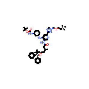 CC(CCO[Si](c1ccccc1)(c1ccccc1)C(C)(C)C)CC(=O)Nc1cnc(-c2ncn(COCC[Si](C)(C)C)n2)cc1N[C@@H]1CCC[C@H](NC(=O)OC(C)(C)C)C1